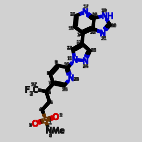 CNS(=O)(=O)CCC(c1ccc(-n2cc(-c3ccnc4[nH]cnc34)cn2)nc1)C(F)(F)F